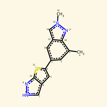 Cc1cc(-c2cc3c[nH]nc3s2)cc2cn(C)nc12